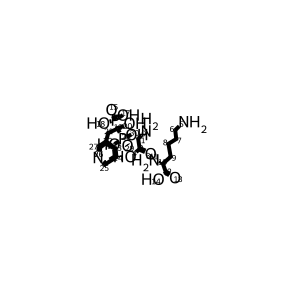 NCC(=O)O.NCCCC[C@H](N)C(=O)O.O=P(O)(O)C(O)(Cc1cccnc1)P(=O)(O)O